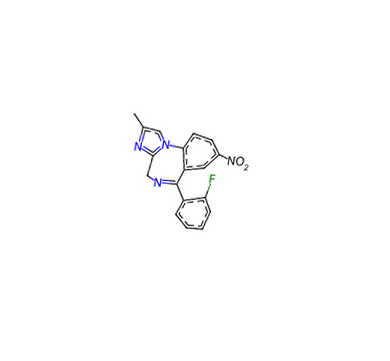 Cc1cn2c(n1)CN=C(c1ccccc1F)c1cc([N+](=O)[O-])ccc1-2